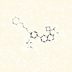 CN1C(=O)C2(CCC2)c2c1cnc1ccc(-c3cnc(OCCCN4CCCCC4)c(NS(=O)(=O)N(C)C)c3)cc21